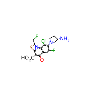 N[C@@H]1CCN(c2c(F)cc3c(=O)c(C(=O)O)c4n(c3c2Cl)C(CF)S4)C1